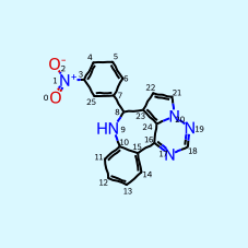 O=[N+]([O-])c1cccc(C2Nc3ccccc3-c3ncnn4ccc2c34)c1